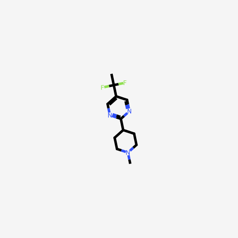 CN1CCC(c2ncc(C(C)(F)F)cn2)CC1